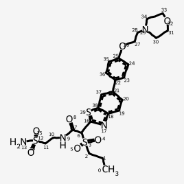 CCCS(=O)(=O)C(C(=O)NCCS(N)(=O)=O)c1nc2ccc(-c3ccc(OCCN4CCOCC4)cc3)cc2s1